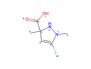 CN1NC(C)(C(=O)O)C=C1F